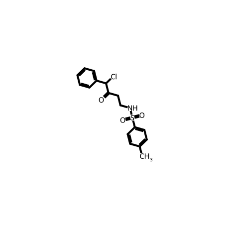 Cc1ccc(S(=O)(=O)NCCC(=O)C(Cl)c2ccccc2)cc1